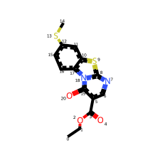 CCOC(=O)c1cnc2sc3cc(SC)ccc3n2c1=O